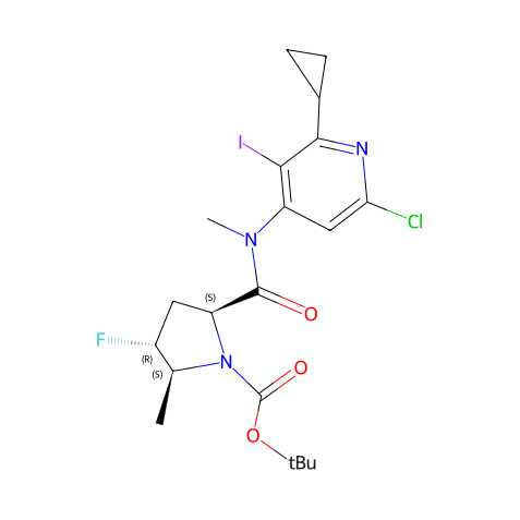 C[C@H]1[C@H](F)C[C@@H](C(=O)N(C)c2cc(Cl)nc(C3CC3)c2I)N1C(=O)OC(C)(C)C